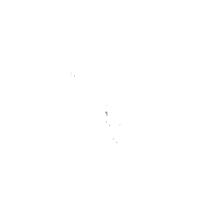 C=CCN1CCC2CCC(C1)N2C(C1=CCC(C(=O)NC2CCCCCC2)C=C1)C1=CC(OC)=CCC1